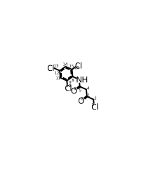 O=C(CCl)CC(=O)Nc1c(Cl)cc(Cl)cc1Cl